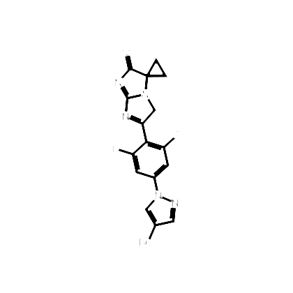 CC(C)(C)c1cnn(-c2cc(F)c(C3=NC4=NC(=O)C5(CC5)N4C3)c(F)c2)c1